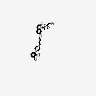 CC(C)CC(=O)OC(C)n1c(=O)ccc2ccc(OCCCCN3CCN(c4cccc(Cl)c4Cl)CC3)cc21